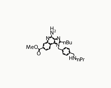 CCCCc1nc2c(N)nc3cc(C(=O)OC)ccc3c2n1Cc1ccc(CNCCC)cc1